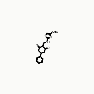 O=Cc1csc(NC=C2C(=O)CC(c3ccccc3)CC2=O)n1